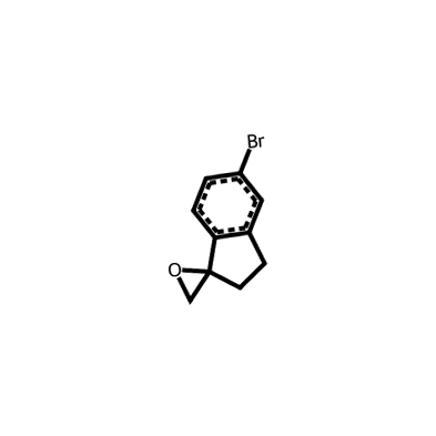 Brc1ccc2c(c1)CCC21CO1